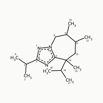 CC(C)c1nc2n(n1)CC(C)C(C)CC2(C)C(C)C